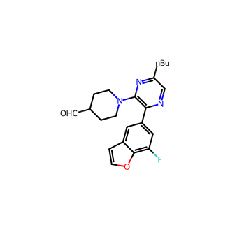 CCCCc1cnc(-c2cc(F)c3occc3c2)c(N2CCC(C=O)CC2)n1